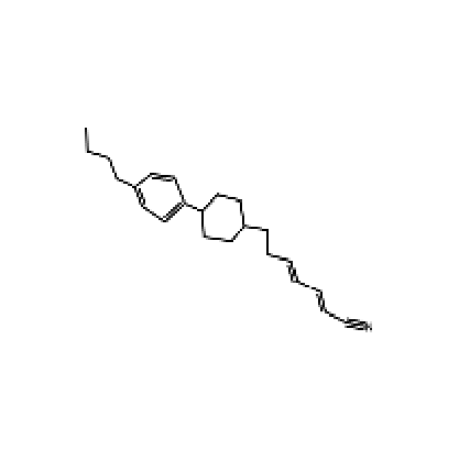 CCCCc1ccc(C2CCC(CCC=CC=CC#N)CC2)cc1